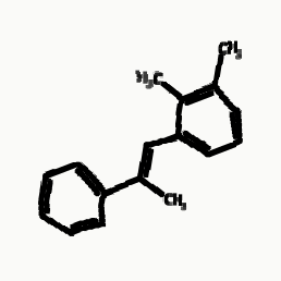 C/C(=C\c1cccc(C)c1C)c1ccccc1